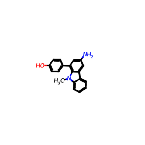 Cn1c2ccccc2c2cc(N)cc(-c3ccc(O)cc3)c21